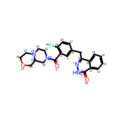 O=C(c1cc(Cc2n[nH]c(=O)c3ccccc23)ccc1F)N1CCN2CCOCC2C1